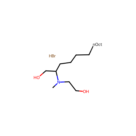 Br.CCCCCCCCCCCCC(CO)N(C)CCO